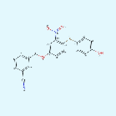 N#Cc1cccc(COc2ccc(Sc3ccc(O)cc3)c([N+](=O)[O-])c2)c1